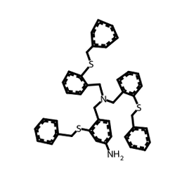 Nc1ccc(CN(Cc2ccccc2SCc2ccccc2)Cc2ccccc2SCc2ccccc2)c(SCc2ccccc2)c1